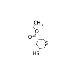 CCOC(=O)[C@@H]1CSC[C@H](S)C1